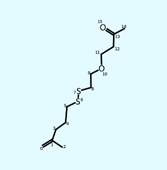 C=C(C)CCCSSCCOCCC(C)=O